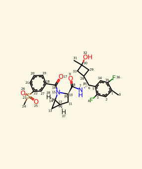 Cc1cc(F)c([C@H](NC(=O)[C@H]2C[C@H]3C[C@H]3N2C(=O)c2cccc(S(C)(=O)=O)c2)C2CC(C)(O)C2)cc1F